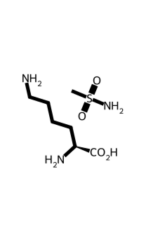 CS(N)(=O)=O.NCCCC[C@H](N)C(=O)O